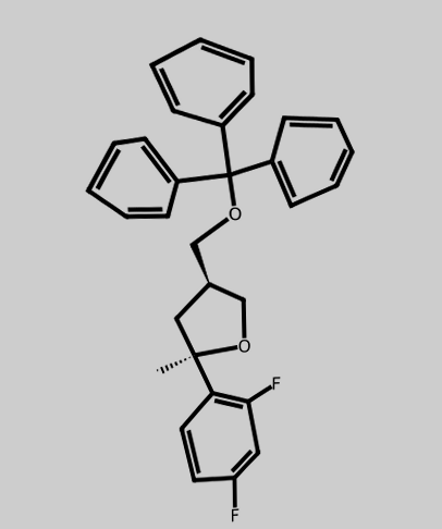 [CH2][C@]1(c2ccc(F)cc2F)C[C@@H](COC(c2ccccc2)(c2ccccc2)c2ccccc2)CO1